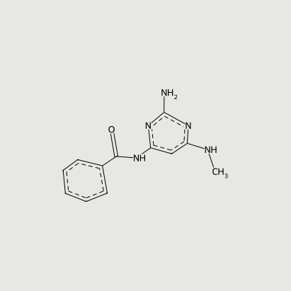 CNc1cc(NC(=O)c2ccccc2)nc(N)n1